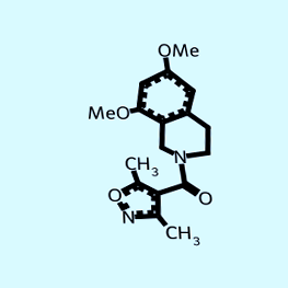 COc1cc2c(c(OC)c1)CN(C(=O)c1c(C)noc1C)CC2